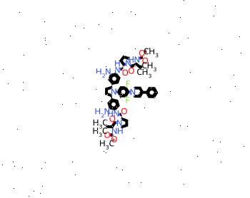 COC(=O)N[C@H](C(=O)N1CCC[C@H]1C(=O)Nc1ccc([C@H]2CC[C@H](c3ccc(NC(=O)[C@@H]4CCCN4C(=O)[C@@H](NC(=O)OC)C(C)C)c(N)c3)N2c2cc(F)c(N3CC=C(c4ccccc4)CC3)c(F)c2)cc1N)C(C)C